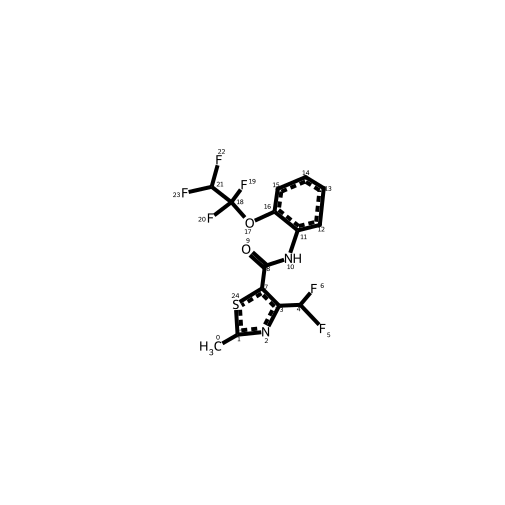 Cc1nc(C(F)F)c(C(=O)Nc2ccccc2OC(F)(F)C(F)F)s1